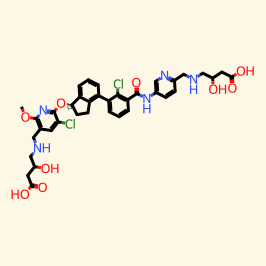 COc1nc(O[C@H]2CCc3c(-c4cccc(C(=O)Nc5ccc(CNCC(O)CC(=O)O)nc5)c4Cl)cccc32)c(Cl)cc1CNCC(O)CC(=O)O